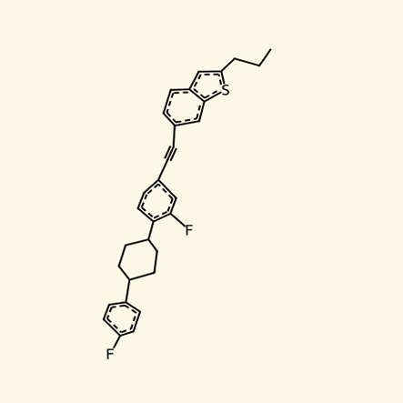 CCCc1cc2ccc(C#Cc3ccc(C4CCC(c5ccc(F)cc5)CC4)c(F)c3)cc2s1